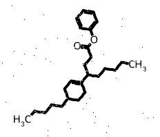 CCCCCC1CC=C(C(CCCCC)CCC(=O)Oc2ccccc2)CC1